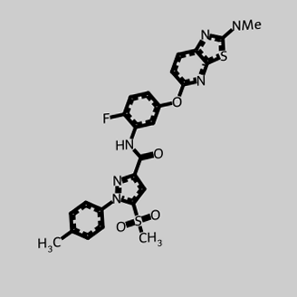 CNc1nc2ccc(Oc3ccc(F)c(NC(=O)c4cc(S(C)(=O)=O)n(-c5ccc(C)cc5)n4)c3)nc2s1